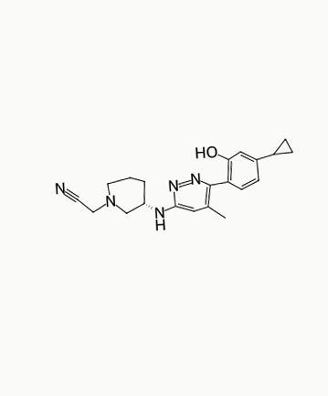 Cc1cc(N[C@H]2CCCN(CC#N)C2)nnc1-c1ccc(C2CC2)cc1O